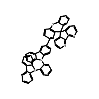 c1ccc2c(c1)Sc1ccc(-c3ccc4c(c3)c3ccccc3n4-c3ccccc3-n3c4ccccc4c4ccccc43)cc1C21c2cccnc2-c2ncccc21